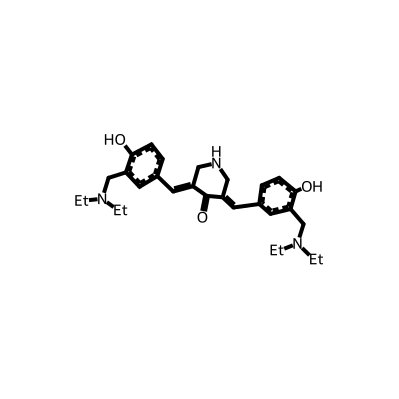 CCN(CC)Cc1cc(C=C2CNCC(=Cc3ccc(O)c(CN(CC)CC)c3)C2=O)ccc1O